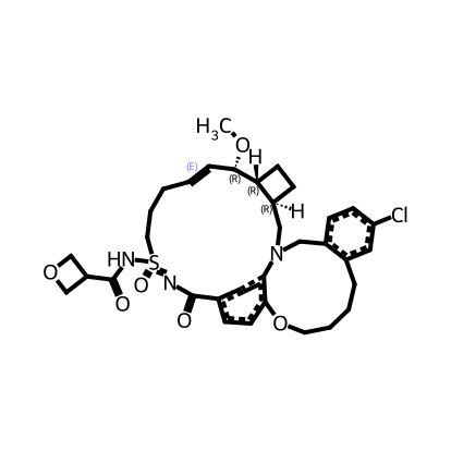 CO[C@H]1/C=C/CCCS(=O)(NC(=O)C2COC2)=NC(=O)c2ccc3c(c2)N(Cc2ccc(Cl)cc2CCCCO3)C[C@@H]2CC[C@H]21